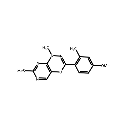 COc1ccc(C2=NN(C)c3nc(SC)ncc3O2)c(C)c1